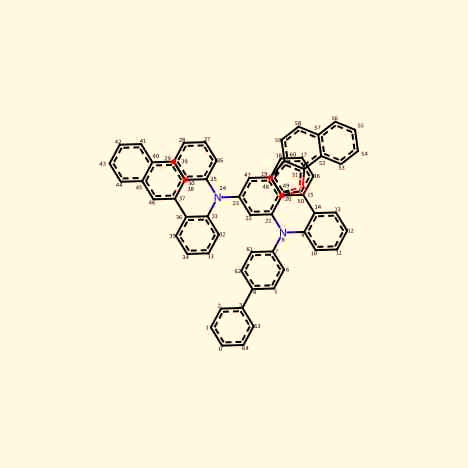 c1ccc(-c2ccc(N(c3ccccc3-c3ccccc3)c3cc(N(c4ccccc4)c4ccccc4-c4ccc5ccccc5c4)cc4c3oc3c5ccccc5ccc43)cc2)cc1